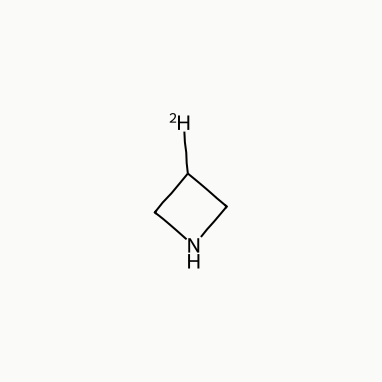 [2H]C1CNC1